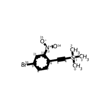 C[Si](C)(C)C#Cc1ccc(Br)cc1[N+](=O)[O-]